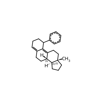 C[C@@]12CCC[C@H]1[C@@H]1CCC3=CCCC(c4ccccc4)C3=C1CC2